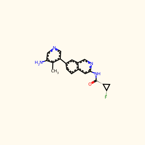 Cc1c(N)cncc1-c1ccc2cc(NC(=O)[C@@H]3C[C@@H]3F)ncc2c1